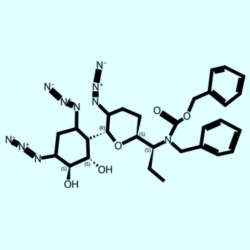 CC[C@@H]([C@@H]1CCC(N=[N+]=[N-])[C@@H](C2C(N=[N+]=[N-])CC(N=[N+]=[N-])[C@H](O)[C@H]2O)O1)N(Cc1ccccc1)C(=O)OCc1ccccc1